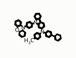 Cc1ccc(N(c2ccc(C3=CC=CCC3)cc2)c2ccc3c4ccccc4n(-c4ccc(N5c6ccccc6OC6C=CC=CC65)cc4)c3c2)cc1